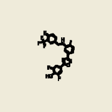 Cc1ccc(-c2noc(-c3cc(F)c(O)c(F)c3)n2)cc1NCc1ccc(F)c(C(F)(F)F)c1